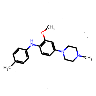 COc1cc(N2CCN(C)CC2)ccc1Nc1ccc(C)cc1